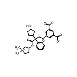 Br.C[N+]1(C)CCC(OC(=O)C(OC(=O)c2cc(C(=O)[O-])cc([N+](=O)[O-])c2)(c2ccccc2)C2CCCC2)C1